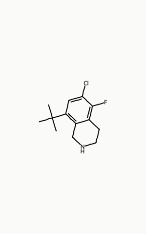 CC(C)(C)c1cc(Cl)c(F)c2c1CNCC2